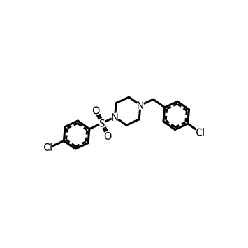 O=S(=O)(c1ccc(Cl)cc1)N1CCN(Cc2ccc(Cl)cc2)CC1